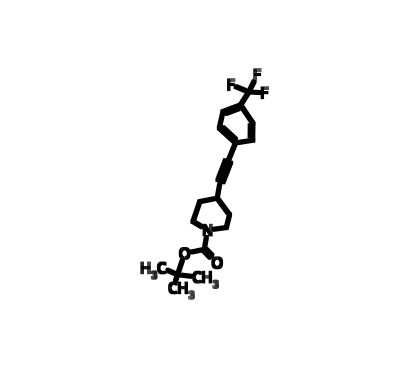 CC(C)(C)OC(=O)N1CCC(C#Cc2ccc(C(F)(F)F)cc2)CC1